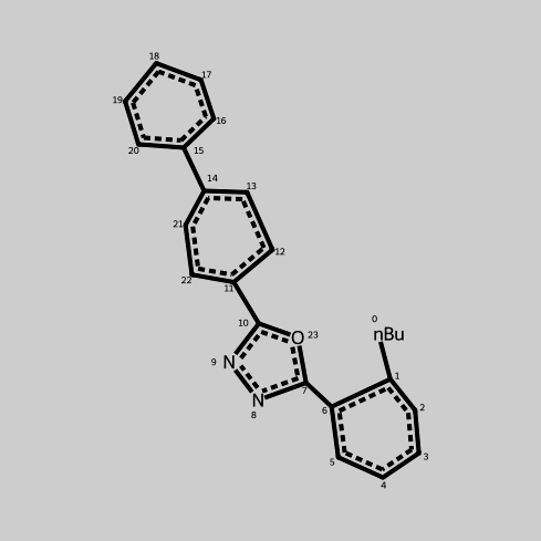 CCCCc1ccccc1-c1nnc(-c2ccc(-c3ccccc3)cc2)o1